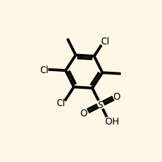 Cc1c(Cl)c(C)c(S(=O)(=O)O)c(Cl)c1Cl